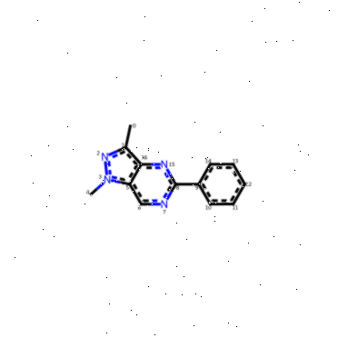 Cc1nn(C)c2cnc(-c3ccccc3)nc12